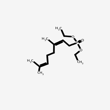 CCOP(=O)(CC=C(C)CCC=C(C)C)OCC